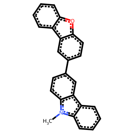 Cn1c2ccccc2c2cc(-c3ccc4oc5ccccc5c4c3)ccc21